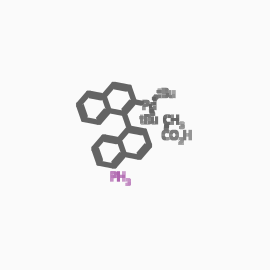 CC(=O)O.C[C](C)(C)[Pd]([c]1ccc2ccccc2c1-c1cccc2ccccc12)[C](C)(C)C.P